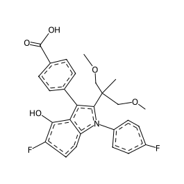 COCC(C)(COC)c1c(-c2ccc(C(=O)O)cc2)c2c(O)c(F)ccc2n1-c1ccc(F)cc1